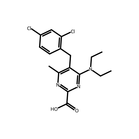 CCN(CC)c1nc(C(=O)O)nc(C)c1Cc1ccc(Cl)cc1Cl